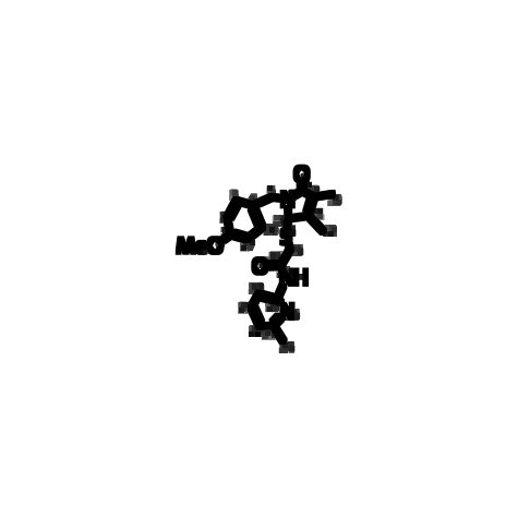 COc1ccc(CN2C(=O)C(C)=C(C)C2SCC(=O)Nc2cccc(C)n2)cc1